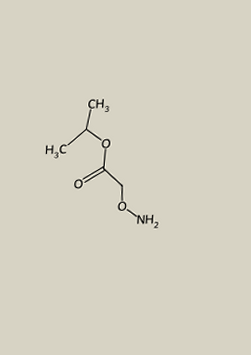 CC(C)OC(=O)CON